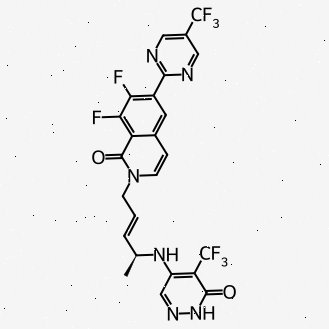 C[C@@H](/C=C/Cn1ccc2cc(-c3ncc(C(F)(F)F)cn3)c(F)c(F)c2c1=O)Nc1cn[nH]c(=O)c1C(F)(F)F